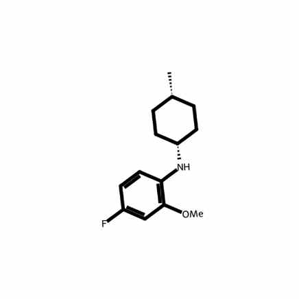 COc1cc(F)ccc1N[C@H]1CC[C@@H](C)CC1